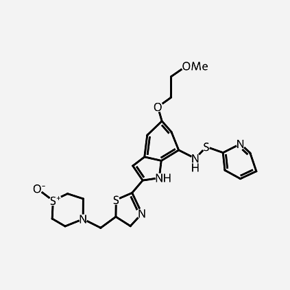 COCCOc1cc(NSc2ccccn2)c2[nH]c(C3=NCC(CN4CC[S+]([O-])CC4)S3)cc2c1